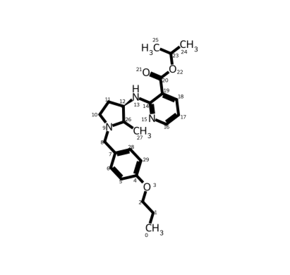 CCCOc1ccc(CN2CC[C@@H](Nc3ncccc3C(=O)OC(C)C)C2C)cc1